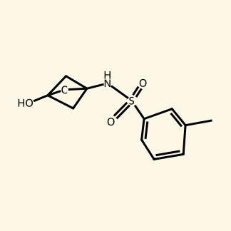 Cc1cccc(S(=O)(=O)NC23CC(O)(C2)C3)c1